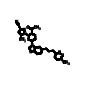 CC(=O)c1ccc(-n2cnc3ccc(CCCc4ccc(C)nn4)cc32)nc1-n1nc(C#N)cc1C